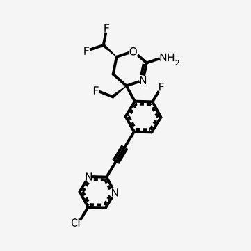 NC1=N[C@](CF)(c2cc(C#Cc3ncc(Cl)cn3)ccc2F)C[C@@H](C(F)F)O1